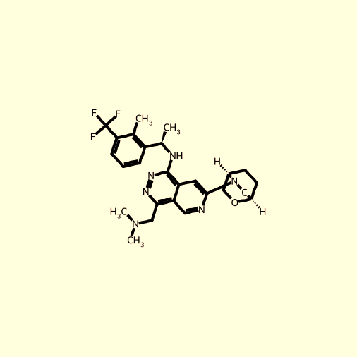 Cc1c([C@@H](C)Nc2nnc(CN(C)C)c3cnc(N4C[C@H]5CC[C@@H]4CO5)cc23)cccc1C(F)(F)F